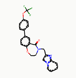 O=C1c2cc(-c3ccc(OC(F)(F)F)cc3)ccc2OCCN1Cc1cn2ccccc2n1